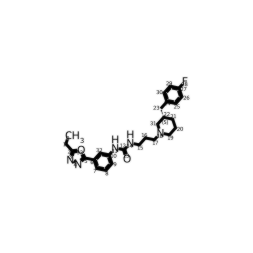 CCc1nnc(-c2cccc(NC(=O)NCCCN3CCC[C@@H](Cc4ccc(F)cc4)C3)c2)o1